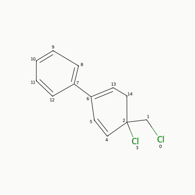 ClCC1(Cl)C=CC(c2ccccc2)=CC1